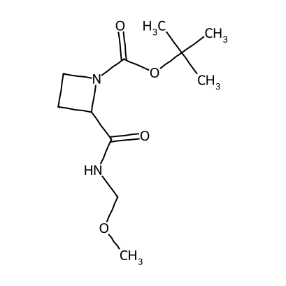 COCNC(=O)C1CCN1C(=O)OC(C)(C)C